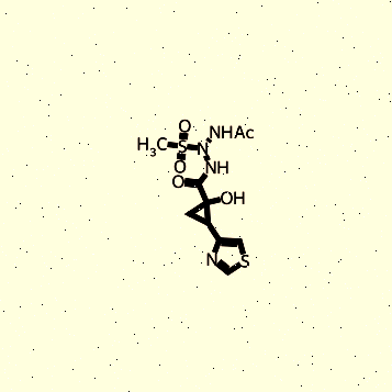 CC(=O)NN(NC(=O)C1(O)CC1c1cscn1)S(C)(=O)=O